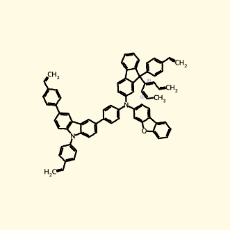 C=C/C=C(\C=C/C)C1(c2ccc(C=C)cc2)c2ccccc2-c2ccc(N(c3ccc(-c4ccc5c(c4)c4cc(-c6ccc(C=C)cc6)ccc4n5-c4ccc(C=C)cc4)cc3)c3ccc4c(c3)oc3ccccc34)cc21